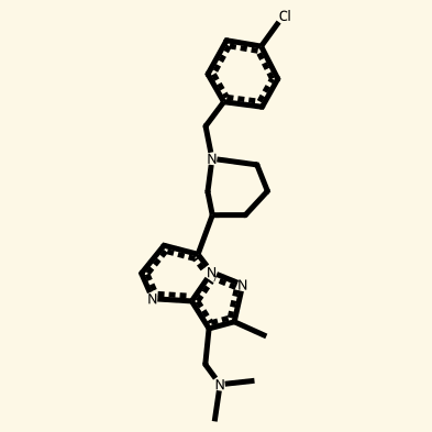 Cc1nn2c(C3CCCN(Cc4ccc(Cl)cc4)C3)ccnc2c1CN(C)C